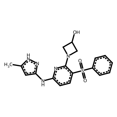 Cc1cc(Nc2ccc(S(=O)(=O)c3ccccc3)c(N3CC(O)C3)n2)n[nH]1